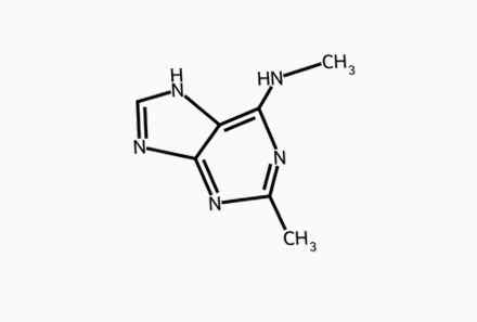 CNc1nc(C)nc2nc[nH]c12